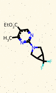 CCOC(=O)c1cnc(N2CC3C(C2)C3(F)F)nc1C